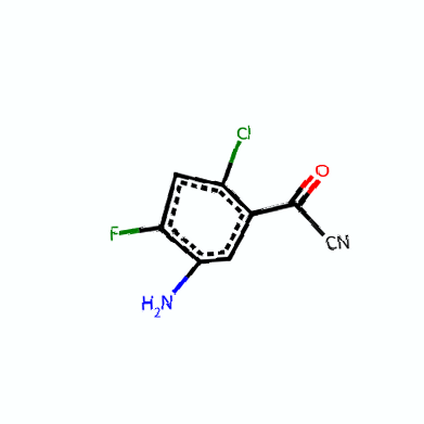 N#CC(=O)c1cc(N)c(F)cc1Cl